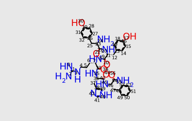 N=C(N)NCCC[C@H](NC(=O)[C@@H](Cc1ccc(O)cc1)NC(=O)[C@@H](N)Cc1ccc(O)cc1)C(=O)N[C@@H](Cc1c[nH]cn1)C(=O)N[C@@H](Cc1ccccc1)C(N)=O